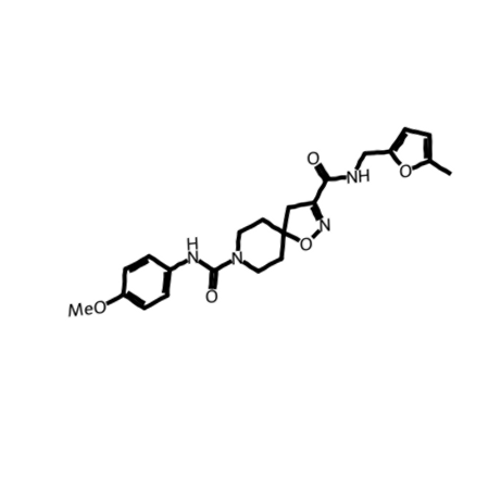 COc1ccc(NC(=O)N2CCC3(CC2)CC(C(=O)NCc2ccc(C)o2)=NO3)cc1